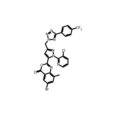 Cc1cc(Br)cc2c(=O)oc(-c3cc(Cn4nnc(-c5ccc(C(F)(F)F)cc5)n4)nn3-c3ncccc3Cl)nc12